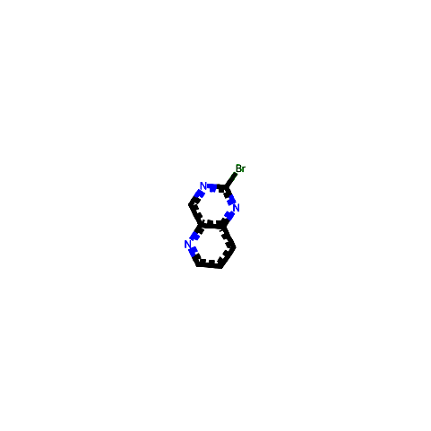 Brc1ncc2ncccc2n1